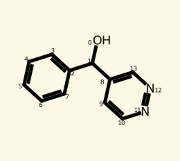 OC(c1ccccc1)c1ccnnc1